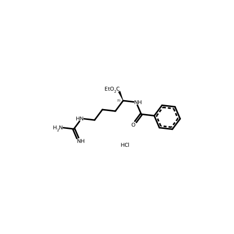 CCOC(=O)[C@H](CCCNC(=N)N)NC(=O)c1ccccc1.Cl